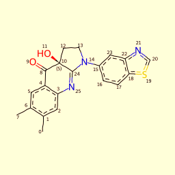 Cc1cc2c(cc1C)C(=O)[C@]1(O)CCN(c3ccc4scnc4c3)C1=N2